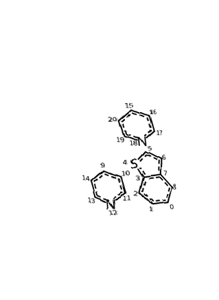 c1ccc2sccc2c1.c1ccncc1.c1ccncc1